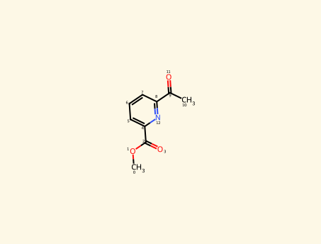 COC(=O)c1cccc(C(C)=O)n1